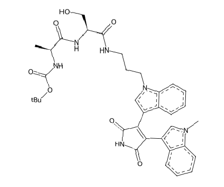 C[C@H](NC(=O)OC(C)(C)C)C(=O)N[C@@H](CO)C(=O)NCCCn1cc(C2=C(c3cn(C)c4ccccc34)C(=O)NC2=O)c2ccccc21